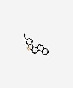 CCc1ccc2c(c1)sc1ccc3c4ccccc4ccc3c12